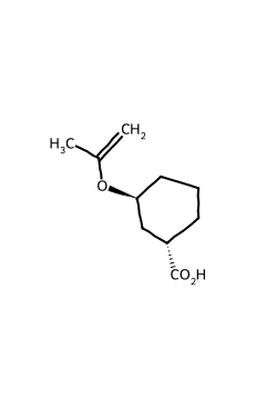 C=C(C)O[C@H]1CCC[C@H](C(=O)O)C1